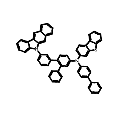 c1ccc(-c2ccc(N(c3ccc(-c4cccc(-n5c6ccccc6c6cc7ccccc7cc65)c4)c(-c4ccccc4)c3)c3ccc4c(c3)sc3ccccc34)cc2)cc1